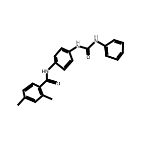 Cc1ccc(C(=O)Nc2ccc(NC(=O)Nc3ccccc3)cc2)c(C)c1